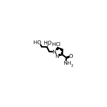 Cl.NC(=O)c1ccn(C[C@@H](O)CO)n1